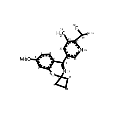 COc1ccc2c(c1)OC1(CCC1)N=C2c1cnc(C(F)F)c(C)c1